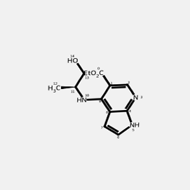 CCOC(=O)c1cnc2[nH]ccc2c1N[C@@H](C)CO